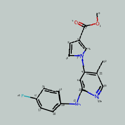 COC(=O)c1ccn(-c2cc(Nc3ccc(F)cc3)ncc2C)c1